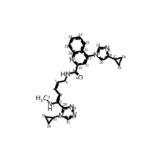 CN/C(=C\C=C/CNC(=O)c1cc(-n2cnc(C3CC3)c2)c2ccccc2n1)c1nncn1C1CC1